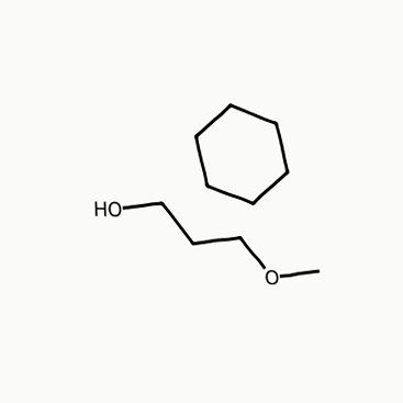 C1CCCCC1.COCCCO